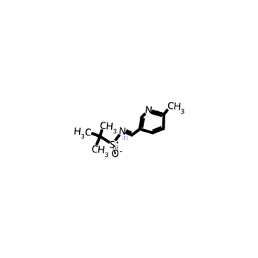 Cc1ccc(/C=N/[S@+]([O-])C(C)(C)C)cn1